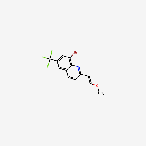 COC=Cc1ccc2cc(C(F)(F)F)cc(Br)c2n1